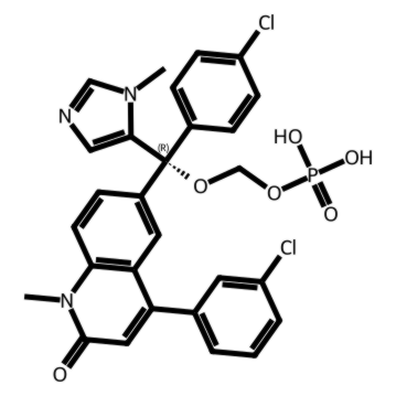 Cn1cncc1[C@@](OCOP(=O)(O)O)(c1ccc(Cl)cc1)c1ccc2c(c1)c(-c1cccc(Cl)c1)cc(=O)n2C